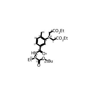 CCOC(=O)CN(CC(=O)OCC)c1cc(C(=O)NN(CC)C(=O)OC(C)(C)C)ccc1C